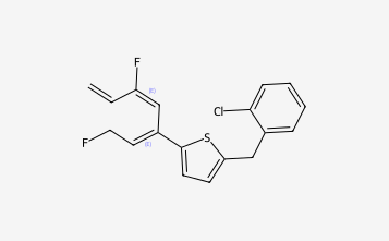 C=C/C(F)=C\C(=C/CF)c1ccc(Cc2ccccc2Cl)s1